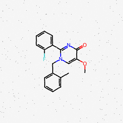 COc1cn(Cc2ccccc2C)c(-c2ccccc2F)nc1=O